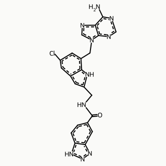 Nc1ncnc2c1ncn2Cc1cc(Cl)cc2cc(CNC(=O)c3ccc4[nH]nnc4c3)[nH]c12